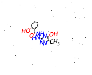 Cc1nnc(NNC(=O)c2ccccc2O)nc1O